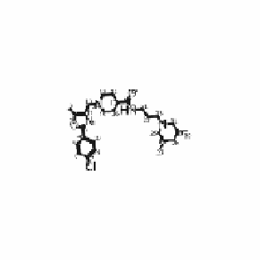 Cc1oc(-c2ccc(Cl)cc2)nc1CN1CCC(C(=O)NCCCN2C[C@H](C)C[C@H](C)C2)CC1